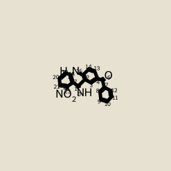 N=C(c1cc(C(=O)c2ccccc2)ccc1N)c1ccccc1[N+](=O)[O-]